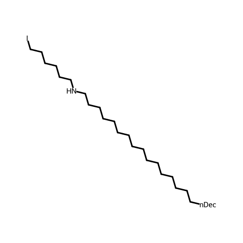 CCCCCCCCCCCCCCCCCCCCCCCCCCNCCCCCCI